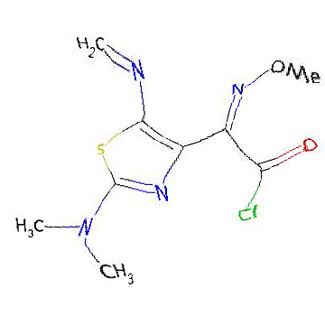 C=Nc1sc(N(C)C)nc1/C(=N/OC)C(=O)Cl